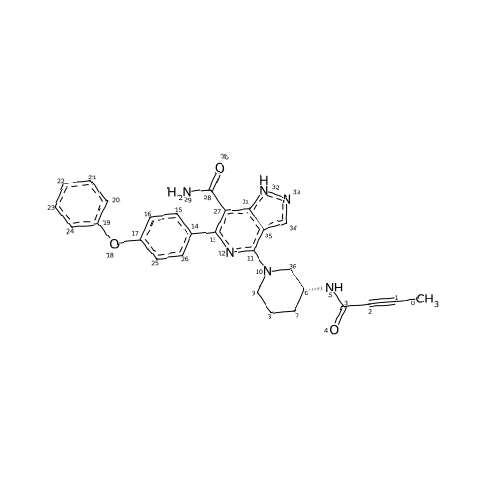 CC#CC(=O)N[C@@H]1CCCN(c2nc(-c3ccc(Oc4ccccc4)cc3)c(C(N)=O)c3[nH]ncc23)C1